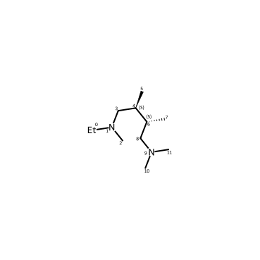 CCN(C)C[C@@H](C)[C@H](C)CN(C)C